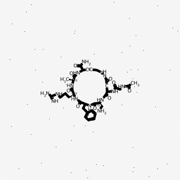 CC(=O)NCC(=O)NC1CC(=O)NCCCCC(C(N)=O)NC(=O)[C@H](C)NC(=O)[C@H](CCCNC(=N)N)NC(=O)C(Cc2ccccc2)NC(=O)[C@H](CN)NC1=O